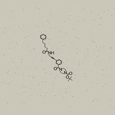 CC(C)(C)OC(=O)N1CCN(C(=O)c2cccc(C#CCNC(=O)CCCCc3ccccc3)c2)CC1